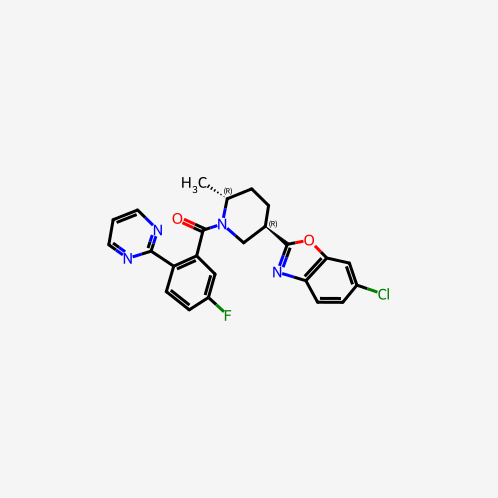 C[C@@H]1CC[C@@H](c2nc3ccc(Cl)cc3o2)CN1C(=O)c1cc(F)ccc1-c1ncccn1